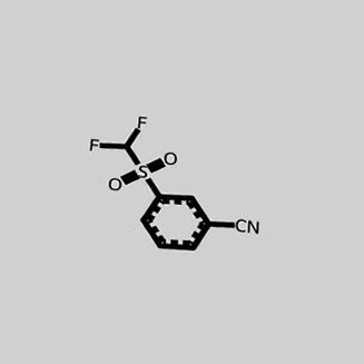 N#Cc1cccc(S(=O)(=O)C(F)F)c1